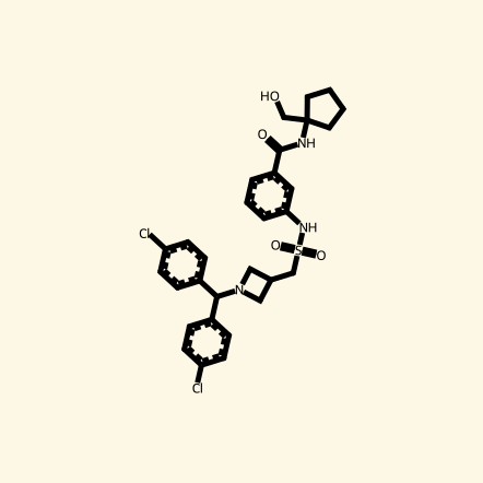 O=C(NC1(CO)CCCC1)c1cccc(NS(=O)(=O)CC2CN(C(c3ccc(Cl)cc3)c3ccc(Cl)cc3)C2)c1